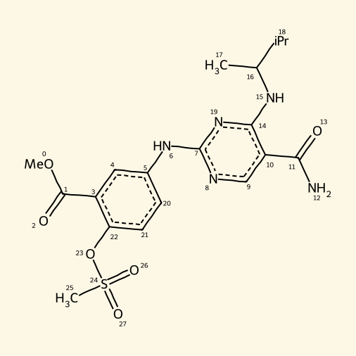 COC(=O)c1cc(Nc2ncc(C(N)=O)c(NC(C)C(C)C)n2)ccc1OS(C)(=O)=O